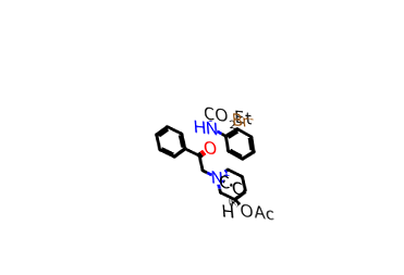 CC(=O)O[C@H]1C[N+]2(CC(=O)c3ccccc3)CCC1CC2.CCOC(=O)Nc1ccccc1.[Br-]